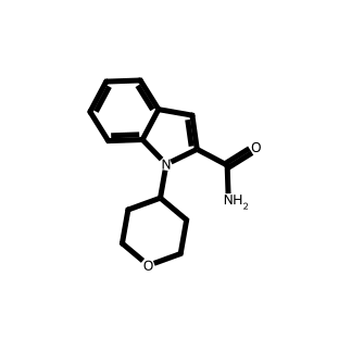 NC(=O)c1cc2ccccc2n1C1CCOCC1